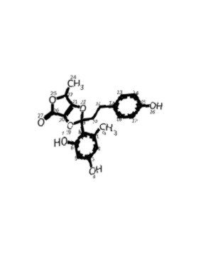 Cc1cc(O)cc(O)c1C1(CCc2ccc(O)cc2)OC2=C(O1)C(C)OC2=O